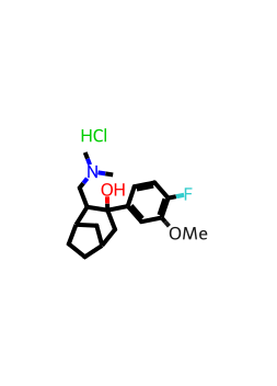 COc1cc(C2(O)CC3CCC(C3)C2CN(C)C)ccc1F.Cl